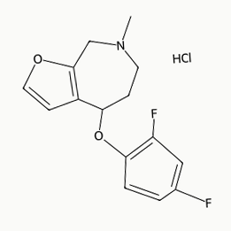 CN1CCC(Oc2ccc(F)cc2F)c2ccoc2C1.Cl